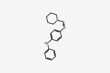 c1ccc(Pc2ccc(/N=N\N3CCCCC3)cc2)cc1